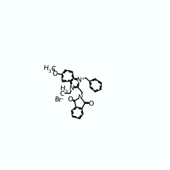 CCn1c(CN2C(=O)c3ccccc3C2=O)[n+](Cc2ccccc2)c2ccc(OC)cc21.[Br-]